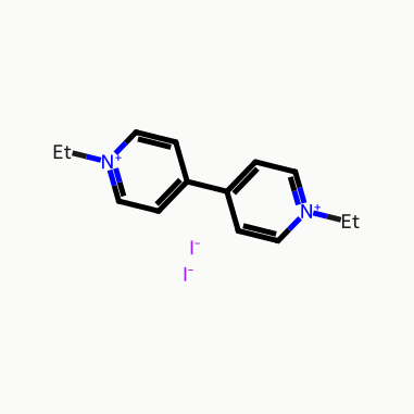 CC[n+]1ccc(-c2cc[n+](CC)cc2)cc1.[I-].[I-]